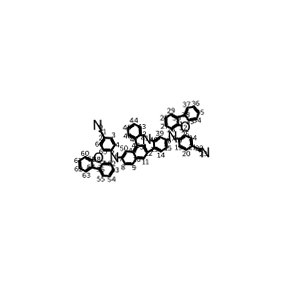 N#Cc1ccc(N(c2ccc3cc4c5ccc(N(c6ccc(C#N)cc6)c6cccc7c6oc6ccccc67)cc5n5c6ccccc6c(c3c2)c45)c2cccc3c2oc2ccccc23)cc1